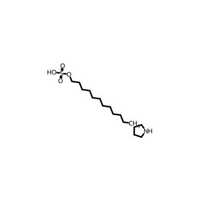 C1CCNC1.CCCCCCCCCCCCOS(=O)(=O)O